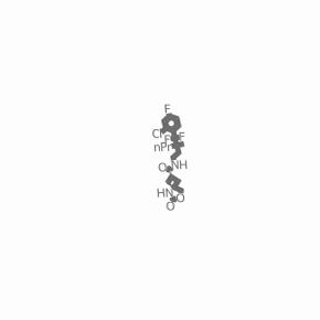 CCCC(C)(CCNC(=O)[C@H]1C[C@]2(COC(=O)N2)C1)C(F)(F)c1ccc(F)cc1Cl